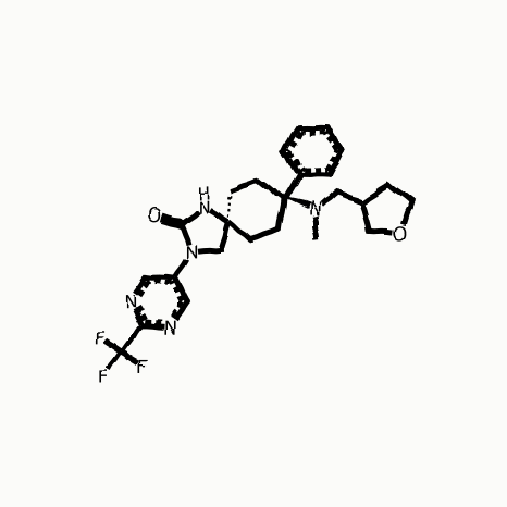 CN(CC1CCOC1)[C@]1(c2ccccc2)CC[C@]2(CC1)CN(c1cnc(C(F)(F)F)nc1)C(=O)N2